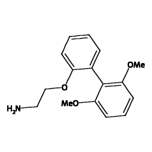 COc1cccc(OC)c1-c1ccccc1OCCN